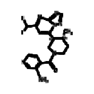 C[C@@H]1CCN(C(=O)c2ccncc2N)C[C@H]1c1cc(C(F)F)nc2ncnn12